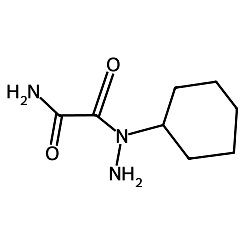 NC(=O)C(=O)N(N)C1CCCCC1